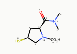 CN(C)C(=O)[C@@H]1C[C@H](S)CN1C(=O)O